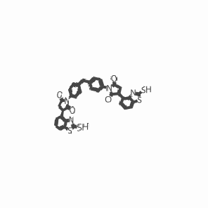 O=C1CC(c2cccc3sc(S)nc23)C(=O)N1c1ccc(Cc2ccc(N3C(=O)CC(c4cccc5sc(S)nc45)C3=O)cc2)cc1